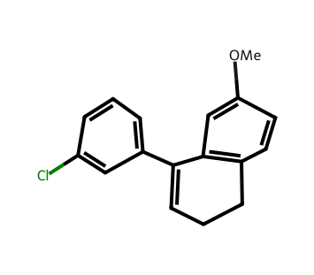 COc1ccc2c(c1)C(c1cccc(Cl)c1)=CCC2